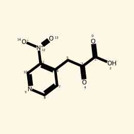 O=C(O)C(=O)Cc1ccncc1[N+](=O)[O-]